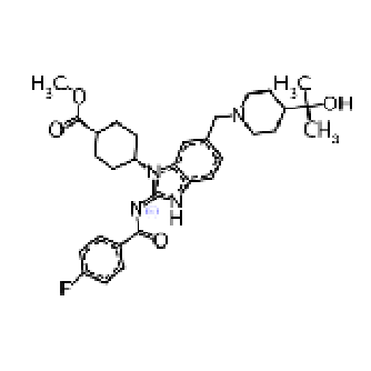 COC(=O)[C@H]1CC[C@@H](n2/c(=N/C(=O)c3ccc(F)cc3)[nH]c3ccc(CN4CCC(C(C)(C)O)CC4)cc32)CC1